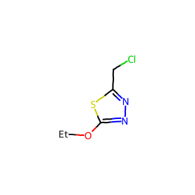 CCOc1nnc(CCl)s1